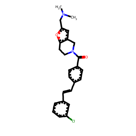 CN(C)Cc1cc2c(o1)CCN(C(=O)c1ccc(C=Cc3cccc(Cl)c3)cc1)C2